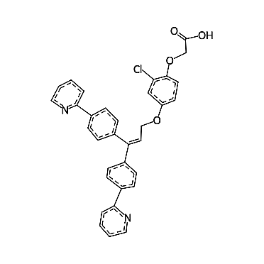 O=C(O)COc1ccc(OCC=C(c2ccc(-c3ccccn3)cc2)c2ccc(-c3ccccn3)cc2)cc1Cl